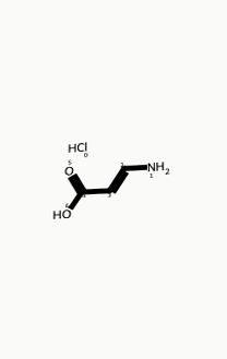 Cl.NC=CC(=O)O